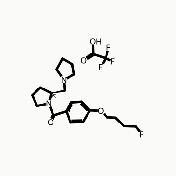 O=C(O)C(F)(F)F.O=C(c1ccc(OCCCCF)cc1)N1CCC[C@H]1CN1CCCC1